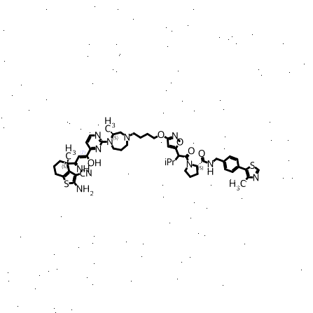 Cc1ncsc1-c1ccc(CNC(=O)[C@@H]2CCCN2C(=O)C(c2cc(OCCCCN3CCCN(c4nccc(/C(O)=C/C(=N)[C@@]5(C)CCCc6sc(N)c(C#N)c65)n4)[C@@H](C)C3)no2)C(C)C)cc1